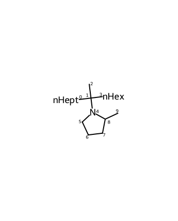 CCCCCCCC(C)(CCCCCC)N1CCCC1C